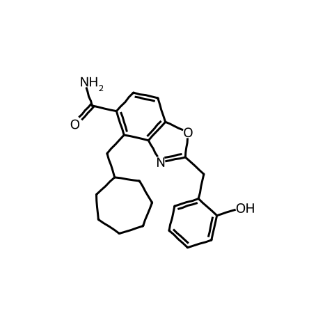 NC(=O)c1ccc2oc(Cc3ccccc3O)nc2c1CC1CCCCCC1